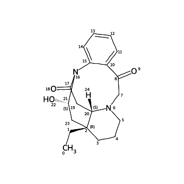 CC[C@]12CCCN3CC(=O)c4ccccc4N(C(=O)C[C@H]31)[C@@H](O)C2